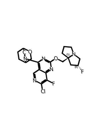 Fc1c(Cl)ncc2c(N3CC4CCC3CO4)nc(OC[C@@]34CCCN3C[C@H](F)C4)nc12